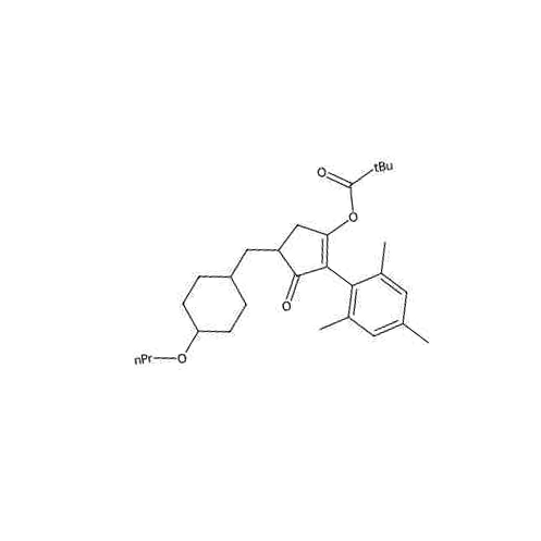 CCCOC1CCC(CC2CC(OC(=O)C(C)(C)C)=C(c3c(C)cc(C)cc3C)C2=O)CC1